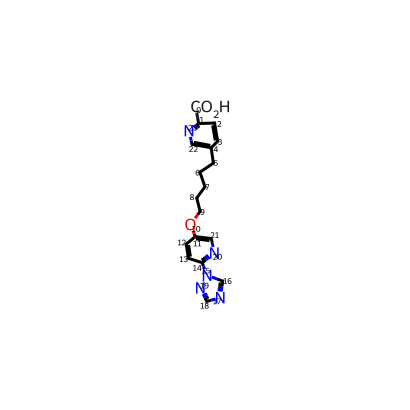 O=C(O)c1ccc(CCCCCOc2ccc(-n3cncn3)nc2)cn1